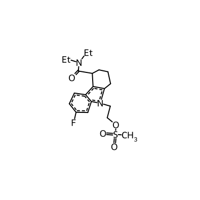 CCN(CC)C(=O)C1CCCc2c1c1ccc(F)cc1n2CCOS(C)(=O)=O